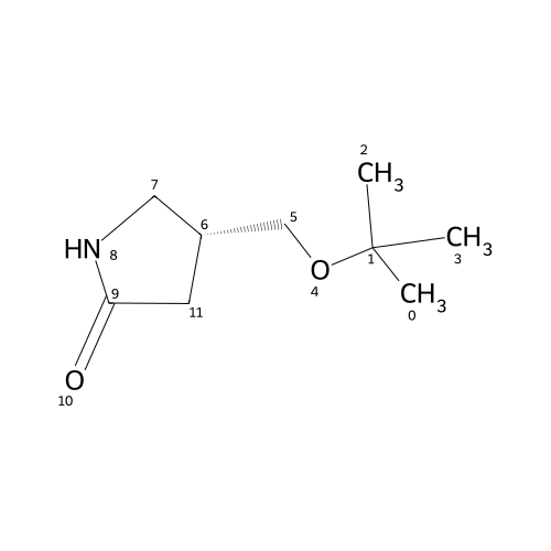 CC(C)(C)OC[C@H]1CNC(=O)C1